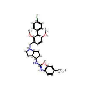 C=C(/C(OCC)=C(\C=C/COCC)CN1CCC2C(Nc3nc4ccc(C(=O)O)cc4o3)CCC21)c1ccc(F)cc1